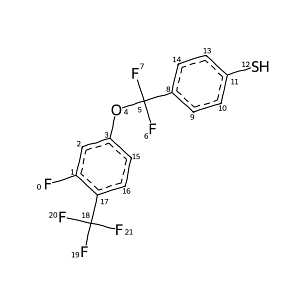 Fc1cc(OC(F)(F)c2ccc(S)cc2)ccc1C(F)(F)F